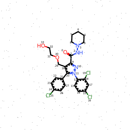 O=C(NN1CCCCC1)c1nn(-c2ccc(Cl)cc2Cl)c(-c2ccc(Cl)cc2)c1COCCO